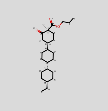 CCCOC(=O)[C@@]1(C)CC[C@@H](C2CCC([C@H]3CC[C@H](CC)CC3)CC2)CC1=O